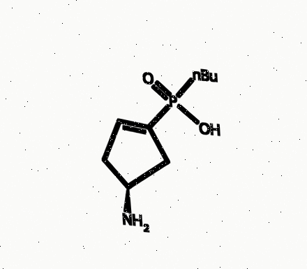 CCCCP(=O)(O)C1=CC[C@H](N)C1